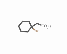 O=C(O)CC1(Br)CCCCC1